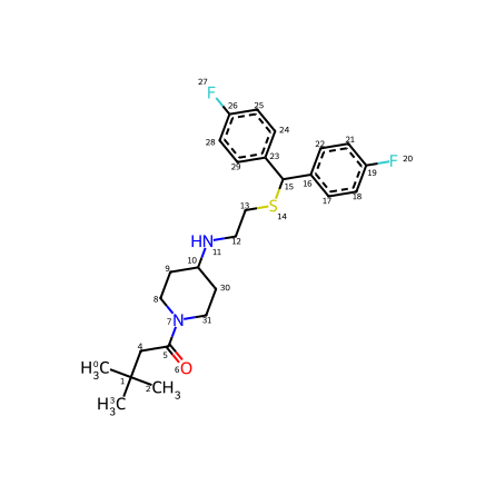 CC(C)(C)CC(=O)N1CCC(NCCSC(c2ccc(F)cc2)c2ccc(F)cc2)CC1